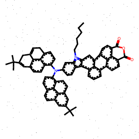 CCCCCCn1c2cc(N(c3ccc4c5c6c(ccc35)C=C(C(C)(C)C)CC6=CC4)c3ccc4ccc5cc(C(C)(C)C)cc6ccc3c4c56)ccc2c2c3cccc4c5ccc6c7c(ccc(c(cc21)c43)c75)C(=O)OC6=O